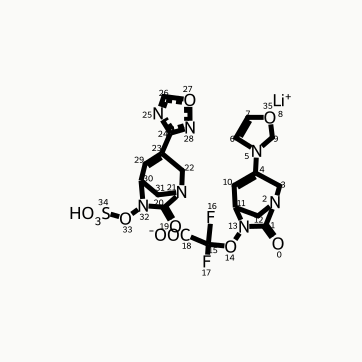 O=C1N2CC(N3C=COC3)=CC(C2)N1OC(F)(F)C(=O)[O-].O=C1N2CC(c3ncon3)=CC(C2)N1OS(=O)(=O)O.[Li+]